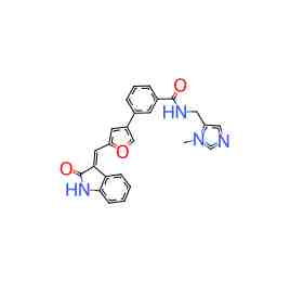 Cn1cncc1CNC(=O)c1cccc(-c2coc(/C=C3/C(=O)Nc4ccccc43)c2)c1